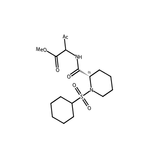 COC(=O)C(NC(=O)[C@@H]1CCCCN1S(=O)(=O)C1CCCCC1)C(C)=O